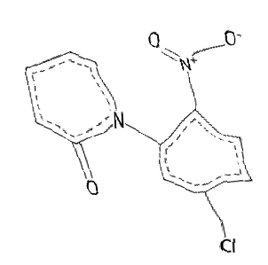 O=c1ccccn1-c1cc(Cl)ccc1[N+](=O)[O-]